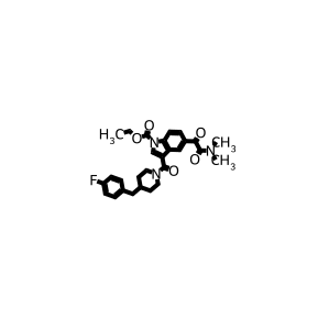 CCOC(=O)n1cc(C(=O)N2CCC(Cc3ccc(F)cc3)CC2)c2cc(C(=O)C(=O)N(C)C)ccc21